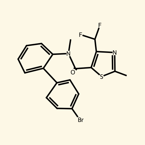 Cc1nc(C(F)F)c(C(=O)N(C)c2ccccc2-c2ccc(Br)cc2)s1